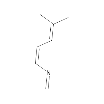 C=N/C=C\C=C(C)C